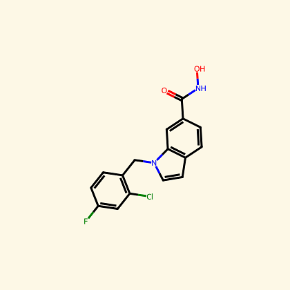 O=C(NO)c1ccc2ccn(Cc3ccc(F)cc3Cl)c2c1